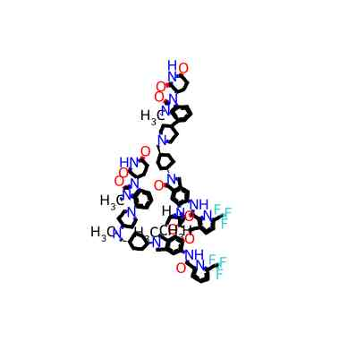 CN(C[C@H]1CC[C@H](N2Cc3cc(NC(=O)c4cccc(C(F)(F)F)n4)c(OCc4ccc(C(F)(F)F)nc4C(=O)Nc4cc5c(cc4N4C[C@H]6C[C@@H]4CO6)C(=O)N([C@H]4CC[C@H](CN6CCC(c7cccc8c7n(C)c(=O)n8C7CCC(=O)NC7=O)CC6)CC4)C5)cc3C2(C)C)CC1)C1CCN(c2cccc3c2n(C)c(=O)n3C2CCC(=O)NC2=O)CC1